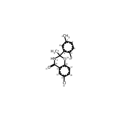 Cc1ccc(F)c(C2(C)NC(=O)c3cc(Cl)ccc3O2)c1